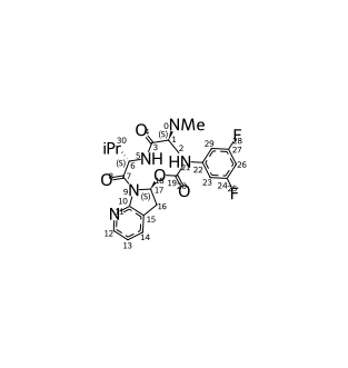 CN[C@@H](C)C(=O)N[C@H](C(=O)N1c2ncccc2C[C@@H]1OC(=O)Nc1cc(F)cc(F)c1)C(C)C